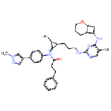 CCCC1/C(=[N+](/C(=O)CCc2ccccc2)c2ccc(-c3cnn(C)c3)cc2)C1CCCNc1ncc(C#N)c(NC2CC3OCCCC23)n1